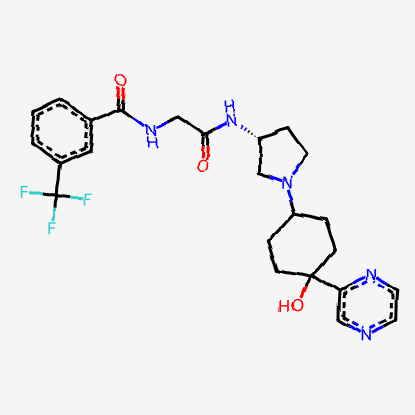 O=C(CNC(=O)c1cccc(C(F)(F)F)c1)N[C@@H]1CCN(C2CCC(O)(c3cnccn3)CC2)C1